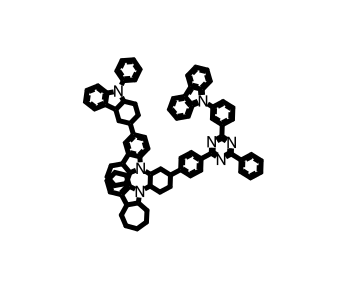 C1=CC2=C(CC1)N(C1CCC(c3ccc(-c4nc(-c5ccccc5)nc(-c5cccc(-n6c7ccccc7c7ccccc76)c5)n4)cc3)CC1N1c3ccc(C4CCC5C(C4)c4ccccc4N5c4ccccc4)cc3C3CCCCC31)C1CCCCCC21